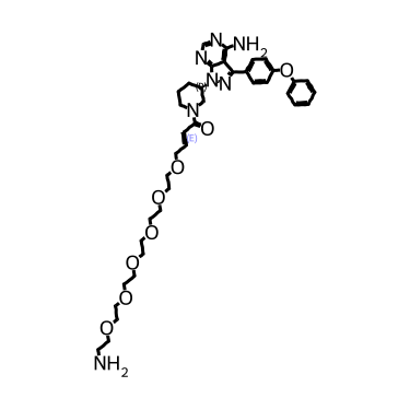 NCCOCCOCCOCCOCCOCCOC/C=C/C(=O)N1CCC[C@@H](n2nc(-c3ccc(Oc4ccccc4)cc3)c3c(N)ncnc32)C1